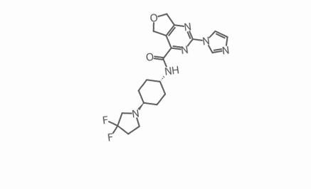 O=C(N[C@H]1CC[C@H](N2CCC(F)(F)C2)CC1)c1nc(-n2ccnc2)nc2c1COC2